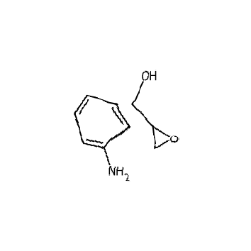 Nc1ccccc1.OCC1CO1